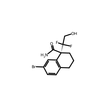 NC(=O)[C@@]1(C(F)(F)CO)CCCc2ccc(Br)cc21